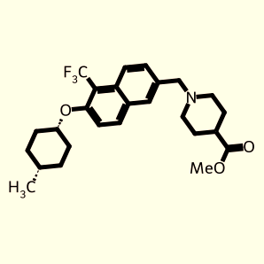 COC(=O)C1CCN(Cc2ccc3c(C(F)(F)F)c(O[C@H]4CC[C@@H](C)CC4)ccc3c2)CC1